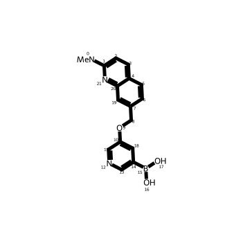 CNc1ccc2ccc(COc3cncc(B(O)O)c3)cc2n1